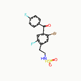 O=C(c1ccc(F)cc1)c1cc(F)c(CCN[SH](=O)=O)cc1Br